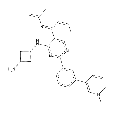 C=C/C(=C\N(C)C)c1cccc(-c2ncc(C(/C=C\C)=N/C(=C)C)c(N[C@H]3C[C@@H](N)C3)n2)c1